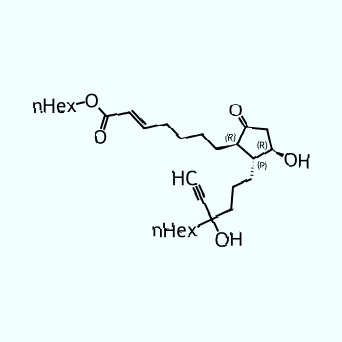 C#CC(O)(CCCCCC)CCC[C@H]1[C@H](O)CC(=O)[C@@H]1CCCCC=CC(=O)OCCCCCC